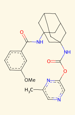 COc1cccc(C(=O)NC23CC4CC(CC(NC(=O)Oc5cncc(C)n5)(C4)C2)C3)c1